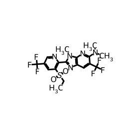 CCS(=O)(=O)c1cc(C(F)(F)F)cnc1-c1nc2cc(C(F)(F)F)c(N(C)C)nc2n1C